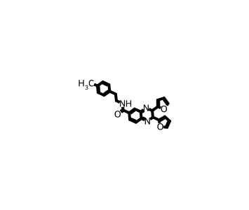 Cc1ccc(CCNC(=O)c2ccc3c(c2)=NC(c2ccco2)C(c2ccco2)N=3)cc1